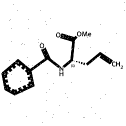 C=CC[C@H](NC(=O)c1ccccc1)C(=O)OC